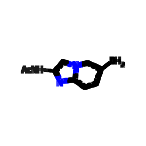 Bc1ccc2nc(NC(C)=O)cn2c1